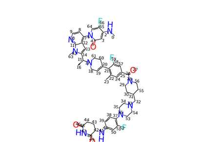 CNc1cc(=O)n(-c2ccnc3c2cc([C@H](C)N2CC=C(c4c(C)cc(C(=O)N5CCC(CN6CCN(c7ccc(N[C@H]8CCC(=O)NC8=O)cc7F)CC6)CC5)cc4F)CC2)n3C)cc1F